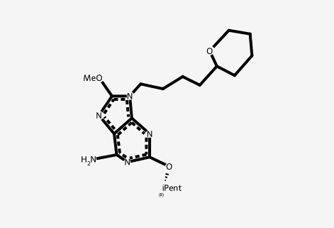 CCC[C@@H](C)Oc1nc(N)c2nc(OC)n(CCCCC3CCCCO3)c2n1